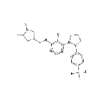 C=C1CC(CN(C)c2ncnc(N3CCCC3c3ccc(C(C)(F)F)cc3)c2F)CN1C